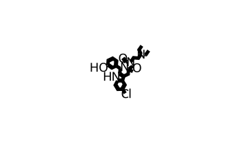 CCN(CC)CCN1C(=O)N2C(c3cccc(O)c3)c3[nH]c4ccc(Cl)cc4c3CC2(C)C1=O